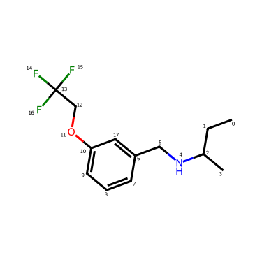 CCC(C)NCc1cccc(OCC(F)(F)F)c1